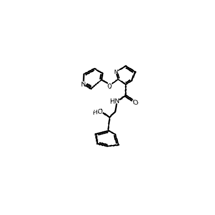 O=C(NCC(O)c1ccccc1)c1cccnc1Oc1cccnc1